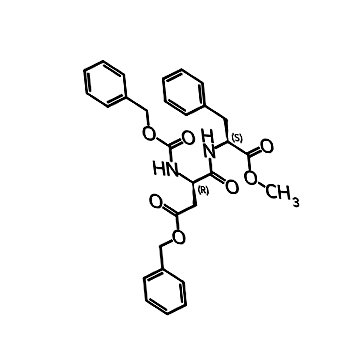 COC(=O)[C@H](Cc1ccccc1)NC(=O)[C@@H](CC(=O)OCc1ccccc1)NC(=O)OCc1ccccc1